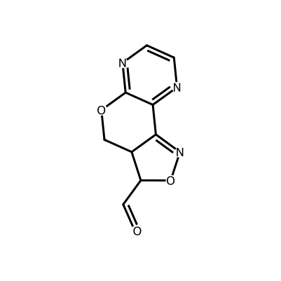 O=CC1ON=C2c3nccnc3OCC21